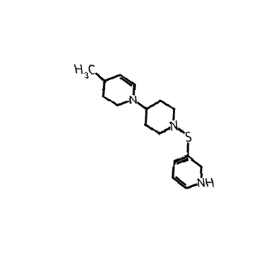 CC1C=CN(C2CCN(SC3=CC=CNC3)CC2)CC1